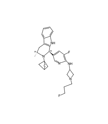 C[C@@H]1Cc2c([nH]c3ccccc23)[C@@H](c2cnc(NC3CN(CCCF)C3)c(F)c2)N1C12CC(C1)C2